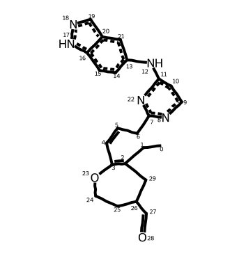 CCC1=C(/C=C\Cc2nccc(Nc3ccc4[nH]ncc4c3)n2)OCCC(C=O)C1